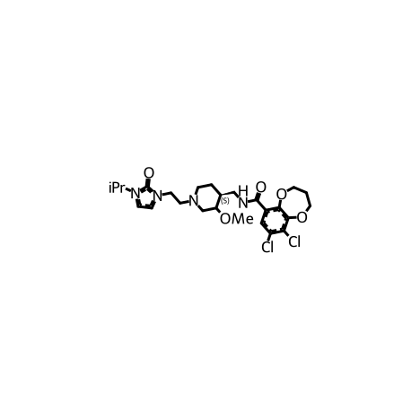 COC1CN(CCn2ccn(C(C)C)c2=O)CC[C@H]1CNC(=O)c1cc(Cl)c(Cl)c2c1OCCCO2